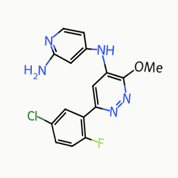 COc1nnc(-c2cc(Cl)ccc2F)cc1Nc1ccnc(N)c1